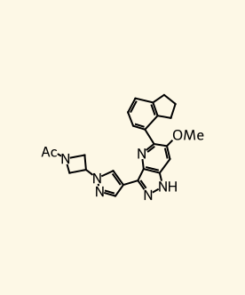 COc1cc2[nH]nc(-c3cnn(C4CN(C(C)=O)C4)c3)c2nc1-c1cccc2c1CCC2